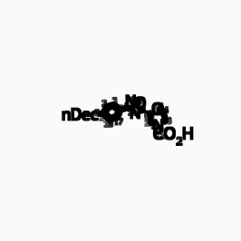 CCCCCCCCCCc1ccc(-c2noc([C@H]3CN(C(=O)O)CCO3)n2)cc1